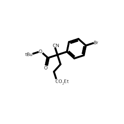 CCOC(=O)CCC(C#N)(C(=O)OC(C)(C)C)c1ccc(Br)cc1